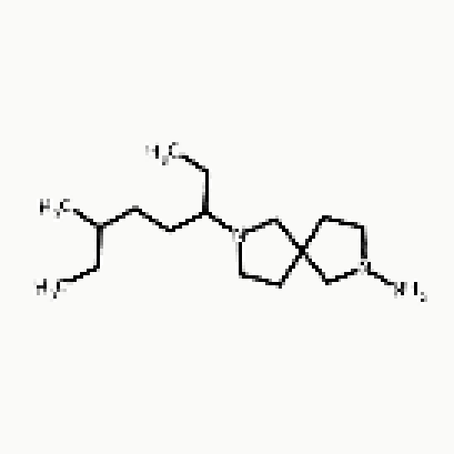 CCC(C)CCC(CC)N1CCC2(CCN(N)C2)C1